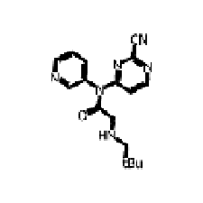 CC(C)(C)CNCC(=O)N(c1cccnc1)c1ccnc(C#N)n1